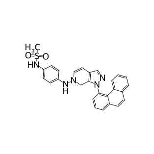 CS(=O)(=O)Nc1ccc(NN2C=Cc3cnn(-c4cccc5ccc6ccccc6c45)c3C2)cc1